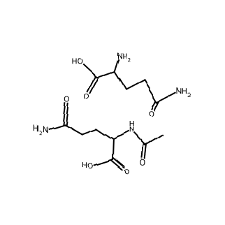 CC(=O)NC(CCC(N)=O)C(=O)O.NC(=O)CCC(N)C(=O)O